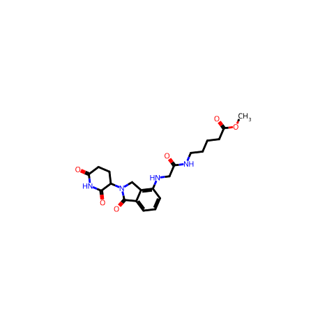 COC(=O)CCCCNC(=O)CNc1cccc2c1CN(C1CCC(=O)NC1=O)C2=O